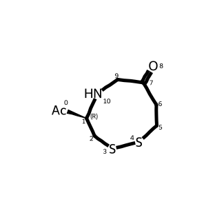 CC(=O)[C@@H]1CSSCCC(=O)CN1